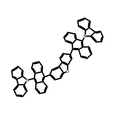 c1ccc2c(-n3c4ccccc4c4ccccc43)c3ccccc3c(-c3ccc4c(c3)oc3ccc(-c5c6ccccc6c(-n6c7ccccc7c7ccccc76)c6ccccc56)cc34)c2c1